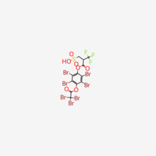 O=C(Oc1c(Br)c(Br)c(OC(=O)C(Br)(Br)Br)c(Br)c1Br)C(CS(=O)(=O)O)C(F)(F)F